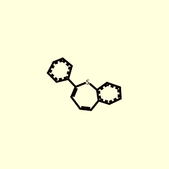 [c]1ccc(C2=CC=Cc3ccccc3S2)cc1